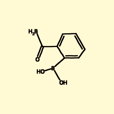 BC(=O)c1ccccc1B(O)O